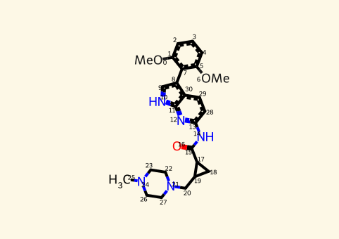 COc1cccc(OC)c1-c1c[nH]c2nc(NC(=O)C3CC3CN3CCN(C)CC3)ccc12